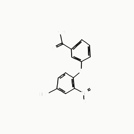 Cc1ccc(Sc2cccc(C(=O)O)c2)c([N+](=O)[O-])c1